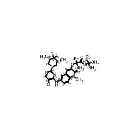 BC(B)(B)NC(=O)C(B)(B)Oc1cc2cc(Nc3nc(N4C[C@@H](C)C(F)(F)[C@@H](C)C4)ncc3Cl)ccc2n(C)c1=O